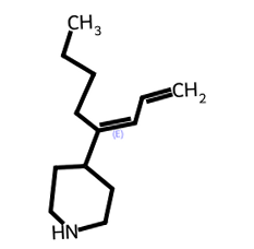 C=C/C=C(\CCCC)C1CCNCC1